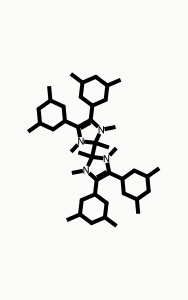 CC1CC(C)CC(C2=C(C3CC(C)CC(C)C3)N(C)C(C)(C3(C)N(C)C(C4CC(C)CC(C)C4)=C(C4CC(C)CC(C)C4)N3C)N2C)C1